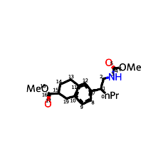 CCCC(CNC(=O)OC)c1ccc2c(c1)CCC(C(=O)OC)C2